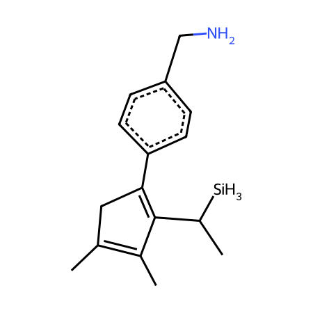 CC1=C(C)C(C(C)[SiH3])=C(c2ccc(CN)cc2)C1